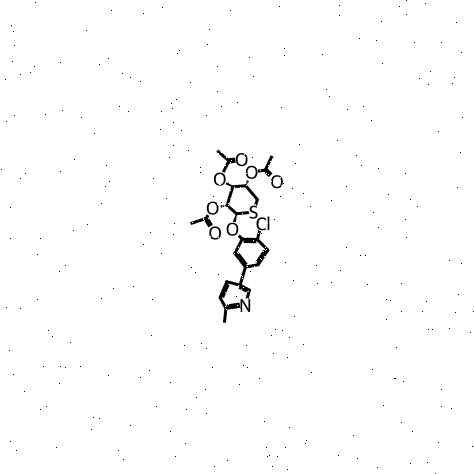 CC(=O)O[C@@H]1[C@@H](OC(C)=O)[C@H](OC(C)=O)CS[C@H]1Oc1cc(-c2ccc(C)nc2)ccc1Cl